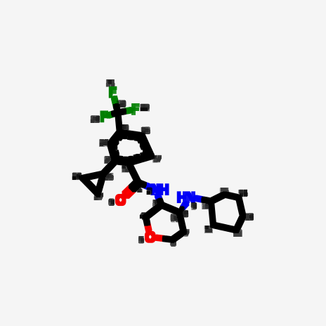 O=C(NC1COCC[C@@H]1NC1CCCCC1)c1ccc(C(F)(F)F)cc1C1CC1